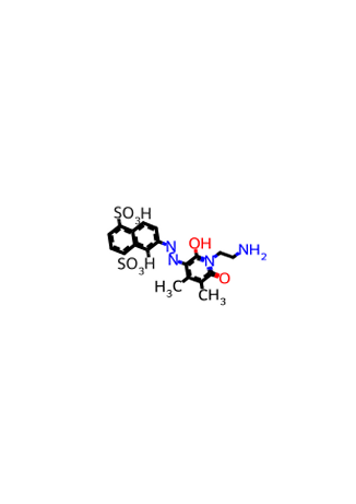 Cc1c(N=Nc2ccc3c(S(=O)(=O)O)cccc3c2S(=O)(=O)O)c(O)n(CCN)c(=O)c1C